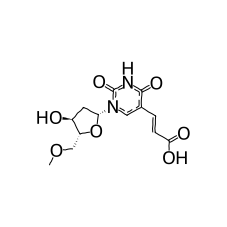 COC[C@H]1O[C@@H](n2cc(/C=C/C(=O)O)c(=O)[nH]c2=O)C[C@@H]1O